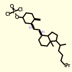 C=C1CCC(OP(=O)(Cl)Cl)C/C1=C/C=C1\CCCC2(C)C1CCC2C(C)CCCC(C)C